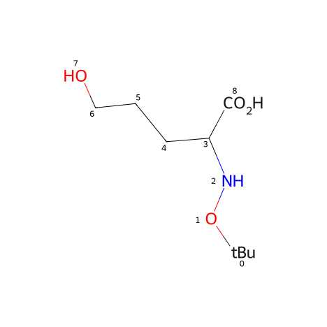 CC(C)(C)ONC(CCCO)C(=O)O